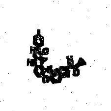 C=C(Nc1ccc(Oc2ccc3nc(NC(=O)C4CC4)cn3n2)c(F)c1)C1(C(=O)Nc2ccc(C)cc2)CC1